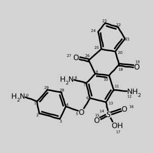 Nc1ccc(Oc2c(N)c3c(c(N)c2S(=O)(=O)O)C(=O)c2ccccc2C3=O)cc1